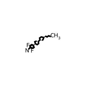 CCCCC[C@H]1CC[C@H]([C@H]2CC[C@H](c3cc(F)c(C#N)c(F)c3)CC2)CC1